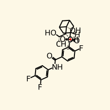 C[C@H](O)[C@@H](O)[C@]1(O)C2CC1C[C@@H](S(=O)(=O)c1cc(C(=O)Nc3ccc(F)c(F)c3)ccc1F)C2